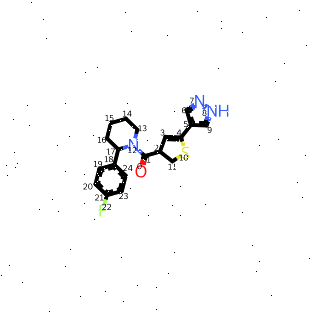 O=C(C1C=C(c2cn[nH]c2)SC1)N1CCCCC1c1ccc(F)cc1